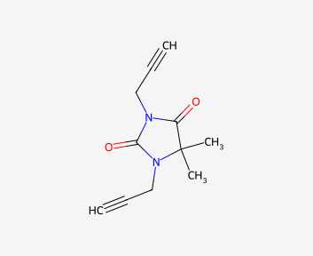 C#CCN1C(=O)N(CC#C)C(C)(C)C1=O